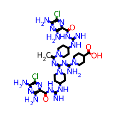 C=C(/N=C(\N=C(/N)N1CCC(C(=O)O)CC1)N1CCC(NC(=N)NC(=O)c2nc(Cl)c(N)nc2N)CC1)N1CCC(NC(=N)NC(=O)c2nc(Cl)c(N)nc2N)CC1